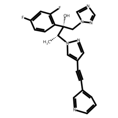 C[C@@H](n1cc(C#Cc2cccnc2)cn1)[C@](O)(Cn1cncn1)c1ccc(F)cc1F